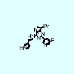 CC(C)c1cnn2c(NCCc3cc[nH]c3)nc(-c3cncc(F)c3)nc12